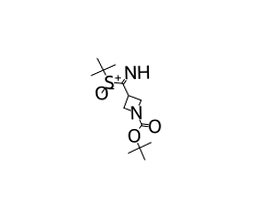 CC(C)(C)OC(=O)N1CC(C(=N)[S+]([O-])C(C)(C)C)C1